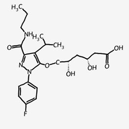 CCCNC(=O)c1nn(-c2ccc(F)cc2)c(OC[C@@H](O)C[C@@H](O)CC(=O)O)c1C(C)C